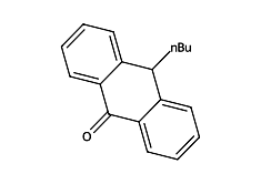 CCCCC1c2ccccc2C(=O)c2ccccc21